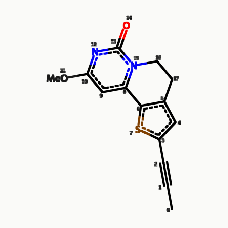 CC#Cc1cc2c(s1)-c1cc(OC)nc(=O)n1CC2